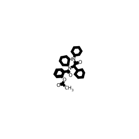 CC(=O)Oc1ccccc1C(=O)N(C1CCCCC1)C(C(=O)NC1CCCCC1)C1CCCCC1